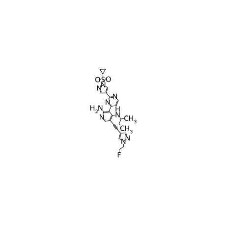 CCC(C)Nc1c(C#Cc2cnn(CCF)c2)cnc(N)c1-c1ccnc(-c2cnn(S(=O)(=O)C3CC3)c2)n1